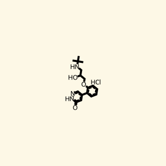 CC(C)(C)NCC(O)COc1ccccc1-c1cn[nH]c(=O)c1.Cl